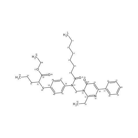 CCCCCCCC(=O)N(Cn1c(CC)nc(-c2ccccc2)cc1=O)c1ccc(SC(CCC)C(=O)OCC)cc1